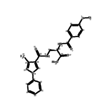 CCOc1ccc(C(=O)N[C@H](CNC(=O)c2cn(-c3ccccc3)nc2C(F)(F)F)C(=O)OC)cc1